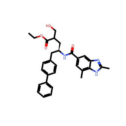 CCOC(=O)C(CO)C[C@H](Cc1ccc(-c2ccccc2)cc1)NC(=O)c1cc(C)c2[nH]c(C)nc2c1